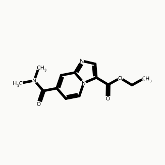 CCOC(=O)c1cnc2cc(C(=O)N(C)C)ccn12